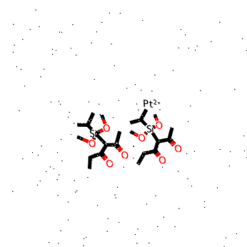 CCC(=O)C(C(C)=O)[Si](OC)(OC)C(C)C.CCC(=O)C(C(C)=O)[Si](OC)(OC)C(C)C.[Pt+2]